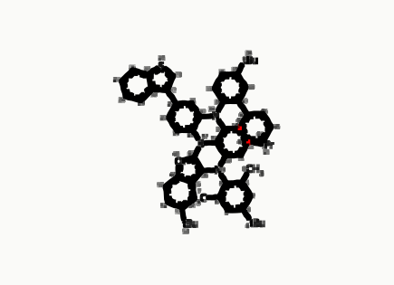 Cc1cc(C(C)(C)C)cc(C)c1N1c2cc(C(C)C)cc3c2B(c2ccc(-c4csc5ccccc45)cc2N3c2ccc(C(C)(C)C)cc2-c2ccccc2)c2oc3ccc(C(C)(C)C)cc3c21